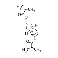 C=C(C)C(=O)OCC1C[C@@H]2C3CC(CC3OC(=O)C(=C)C)[C@@H]2C1